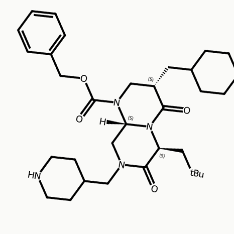 CC(C)(C)C[C@H]1C(=O)N(CC2CCNCC2)C[C@@H]2N(C(=O)OCc3ccccc3)C[C@H](CC3CCCCC3)C(=O)N21